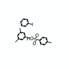 Cc1cc(C)cc(C)c1.Cc1ccc(S(=O)(=O)O)cc1.Ic1ccccc1